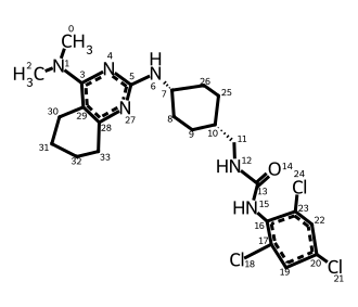 CN(C)c1nc(N[C@H]2CC[C@@H](CNC(=O)Nc3c(Cl)cc(Cl)cc3Cl)CC2)nc2c1CCCC2